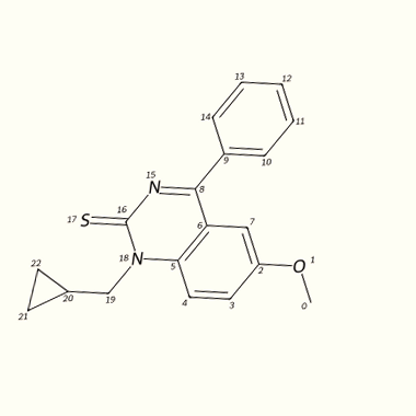 COc1ccc2c(c1)c(-c1ccccc1)nc(=S)n2CC1CC1